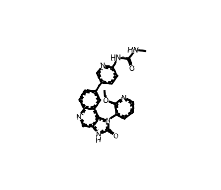 CNC(=O)Nc1ccc(-c2ccc3ncc4[nH]c(=O)n(-c5cccnc5OC)c4c3c2)cn1